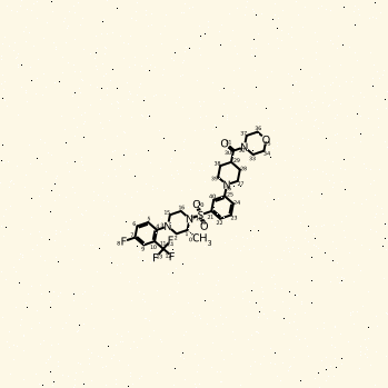 C[C@@H]1CN(c2ccc(F)cc2C(F)(F)F)CCN1S(=O)(=O)c1cccc(N2CCC(C(=O)N3CCOCC3)CC2)c1